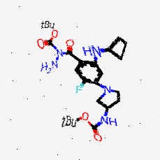 CC(C)(C)OC(=O)NC1CCN(c2cc(NC3CCC3)c(C(=O)N(N)C(=O)OC(C)(C)C)cc2F)C1